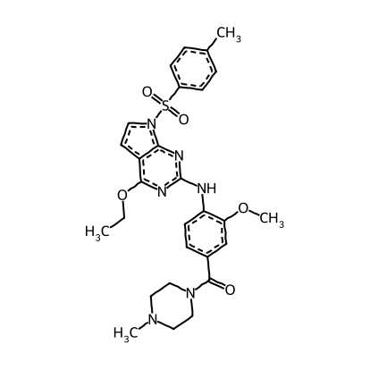 CCOc1nc(Nc2ccc(C(=O)N3CCN(C)CC3)cc2OC)nc2c1ccn2S(=O)(=O)c1ccc(C)cc1